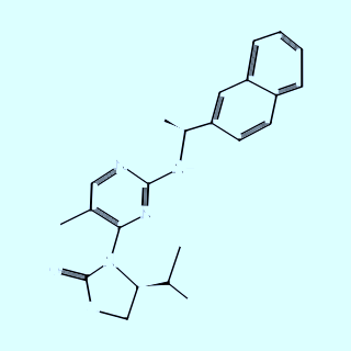 Cc1cnc(N[C@@H](C)c2ccc3ccccc3c2)nc1N1C(=O)OC[C@@H]1C(C)C